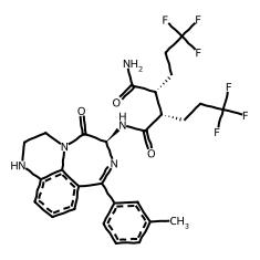 Cc1cccc(C2=N[C@H](NC(=O)[C@@H](CCC(F)(F)F)[C@@H](CCC(F)(F)F)C(N)=O)C(=O)N3CCNc4cccc2c43)c1